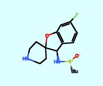 CC(C)(C)[S@@+]([O-])N[C@@H]1c2ccc(F)cc2OC12CCNCC2